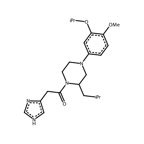 COc1ccc(N2CCN(C(=O)Cc3c[nH]cn3)C(CC(C)C)C2)cc1OC(C)C